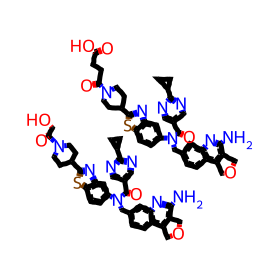 Nc1nc2cc(CN(C(=O)c3cnc(C4CC4)nc3)c3ccc4sc(C5CCN(C(=O)CCC(=O)O)CC5)nc4c3)ccc2c2c1COC2.Nc1nc2cc(CN(C(=O)c3cnc(C4CC4)nc3)c3ccc4sc(C5CCN(C(=O)CO)CC5)nc4c3)ccc2c2c1COC2